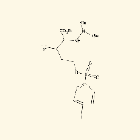 CCOC(=O)C(NN(C(C)(C)C)C(C)(C)C)C(CCOS(=O)(=O)c1ccc(C)cc1)C(F)(F)F